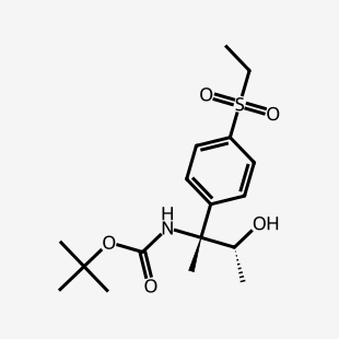 CCS(=O)(=O)c1ccc([C@@](C)(NC(=O)OC(C)(C)C)[C@@H](C)O)cc1